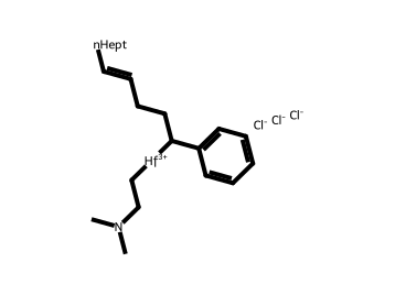 CCCCCCCC=CCC[CH]([Hf+3][CH2]CN(C)C)c1ccccc1.[Cl-].[Cl-].[Cl-]